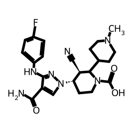 CN1CCC(C2[C@H](C#N)[C@@H](n3cc(C(N)=O)c(Nc4ccc(F)cc4)n3)CCN2C(=O)O)CC1